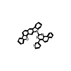 c1cncc(-c2nc(-n3c4ccccc4c4cc5ccc6c7ccccc7oc6c5cc43)nc3c2ccc2ccccc23)c1